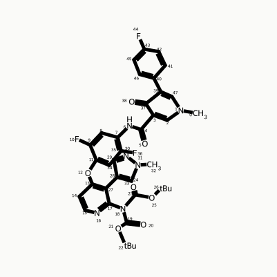 Cn1cc(C(=O)Nc2cc(F)c(Oc3ccnc(N(C(=O)OC(C)(C)C)C(=O)OC(C)(C)C)c3-c3cnn(C)c3)cc2F)c(=O)c(-c2ccc(F)cc2)c1